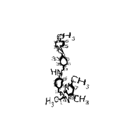 CCc1nc2c(C)cc(C)nc2n1Cc1ccc(NCC2CCC(N3CCN(C)CC3)CC2)cc1